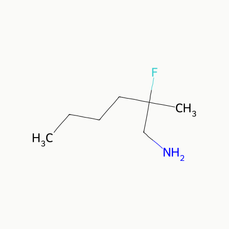 CCCCC(C)(F)CN